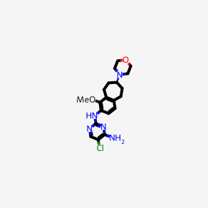 COc1c(Nc2ncc(Cl)c(N)n2)ccc2c1CC[C@@H](N1CCOCC1)CC2